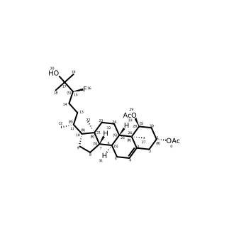 CC(=O)O[C@@H]1CC2=CC[C@H]3[C@@H]4CC[C@H]([C@H](C)CC[C@H](F)C(C)(C)O)[C@@]4(C)CC[C@@H]3[C@@]2(C)[C@@H](OC(C)=O)C1